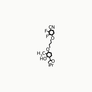 Cc1c(OCCCCOc2ccc(C#N)c(F)c2F)ccc(C(=O)CC(C)C)c1O